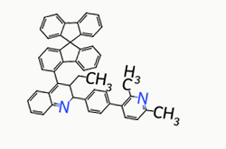 CCC1C(c2cccc3c2-c2ccccc2C32c3ccccc3-c3ccccc32)=c2ccccc2=NC1c1ccc(-c2ccc(C)nc2C)cc1